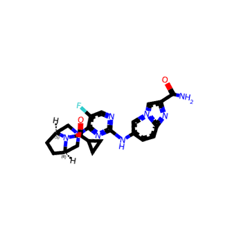 NC(=O)c1cn2cc(Nc3ncc(F)c(N4C[C@H]5CC[C@@H](C4)N5C(=O)C4CC4)n3)ccc2n1